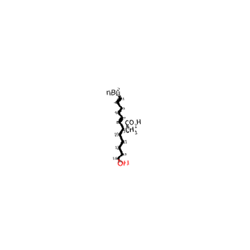 CC(=O)O.CCCCC=CCCC=CCCCCCCO